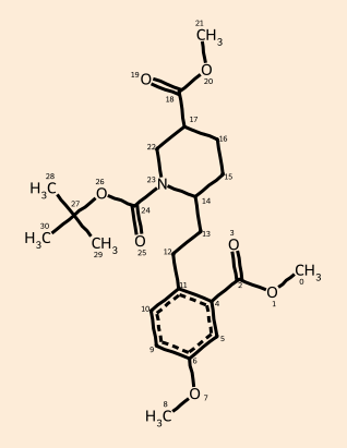 COC(=O)c1cc(OC)ccc1CCC1CCC(C(=O)OC)CN1C(=O)OC(C)(C)C